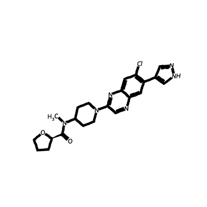 CN(C(=O)[C@H]1CCCO1)C1CCN(c2cnc3cc(-c4cn[nH]c4)c(Cl)cc3n2)CC1